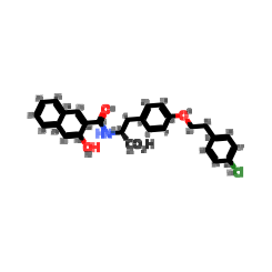 O=C(N[C@@H](Cc1ccc(OCCc2ccc(Cl)cc2)cc1)C(=O)O)c1cc2ccccc2cc1O